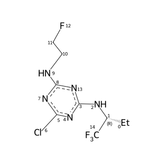 CC[C@@H](Nc1nc(Cl)nc(NCCF)n1)C(F)(F)F